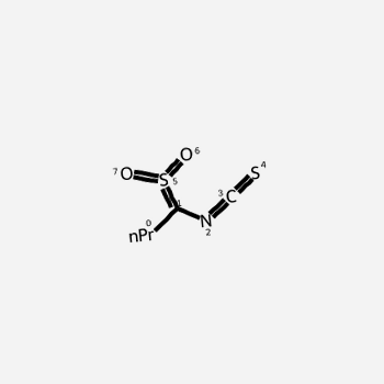 CCCC(N=C=S)=S(=O)=O